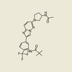 CC(=O)NC1CCN(c2ccc3nc(-c4ccc(C(F)(F)F)c(NC(=O)C(C)(C)C)c4)cn3n2)C1